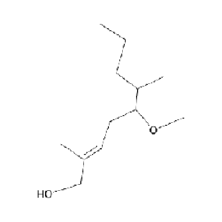 CCCC(C)C(C/C=C(\C)CO)OC